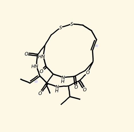 C/C=C1\NC(=O)C2CSSCC/C=C/C(CC(=O)NC(CC)C(=O)N2)OC(=O)C(C(C)C)NC1=O